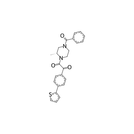 C[C@@H]1CN(C(=O)c2ccccc2)CCN1C(=O)C(=O)c1ccc(-c2cccs2)cc1